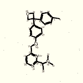 Cc1ccc(C2(c3ccc(OCc4ccnc(C(C)N(C)C)n4)cc3)COC2)cc1